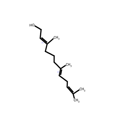 CC(C)=CC/C=C(\C)CCC/C(C)=C/CO